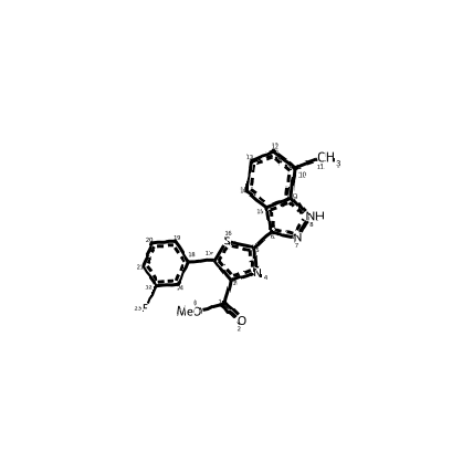 COC(=O)c1nc(-c2n[nH]c3c(C)cccc23)sc1-c1cccc(F)c1